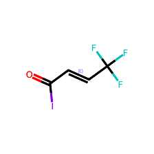 O=C(I)/C=C/C(F)(F)F